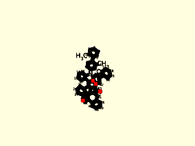 Cc1ccccc1-c1ccc(N(c2ccccc2-c2cccc3c2-c2ccccc2C32c3ccccc3-c3ccccc3-c3ccccc32)c2cccc3c2oc2ccccc23)cc1C